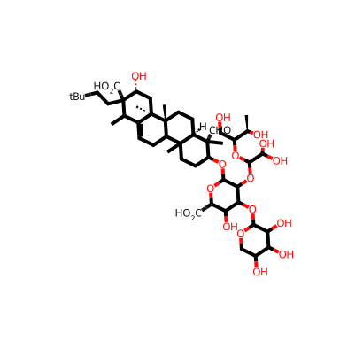 CC1C2=CCC3C4(C)CCC(OC5OC(C(=O)O)C(O)C(OC6OCC(O)C(O)C6O)C5OC(OC(CO)[C@@H](C)O)C(O)O)C(C)(C=O)[C@@H]4CC[C@@]3(C)[C@]2(C)C[C@@H](O)C1(CCC(C)(C)C)C(=O)O